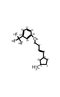 CC1CCC(/C=C/CCOc2cccc(C(F)(F)F)c2)C1